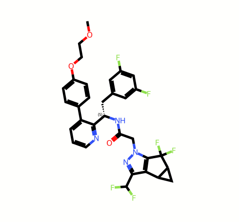 COCCOc1ccc(-c2cccnc2[C@H](Cc2cc(F)cc(F)c2)NC(=O)Cn2nc(C(F)F)c3c2C(F)(F)C2CC32)cc1